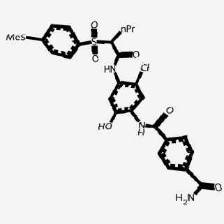 CCCC(C(=O)Nc1cc(O)c(NC(=O)c2ccc(C(N)=O)cc2)cc1Cl)S(=O)(=O)c1ccc(SC)cc1